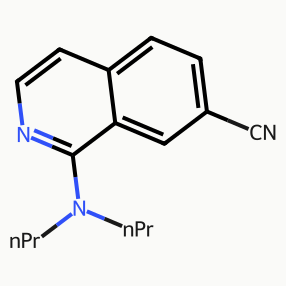 CCCN(CCC)c1nccc2ccc(C#N)cc12